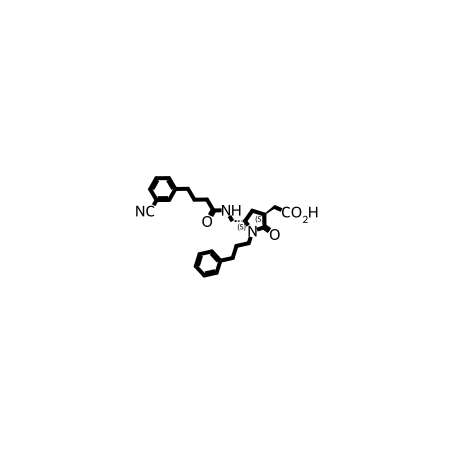 N#Cc1cccc(CCCC(=O)NC[C@@H]2C[C@@H](CC(=O)O)C(=O)N2CCCc2ccccc2)c1